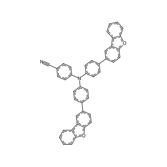 N#Cc1ccc(N(c2ccc(-c3ccc4oc5ccccc5c4c3)cc2)c2ccc(-c3ccc4oc5ccccc5c4c3)cc2)cc1